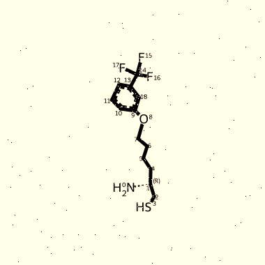 N[C@@H](CS)CCCCOc1cccc(C(F)(F)F)c1